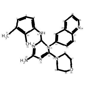 Cc1cccc(NC2N=C(N)N=C(N3CCOCC3)N2c2ccc3ncccc3c2)c1C